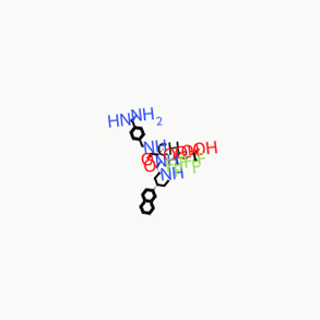 C[C@H](NC(=O)[C@H]1C[C@@H](c2ccc3ccccc3c2)CCN1)C(=O)NCc1ccc(C(=N)N)cc1.O=C(O)C(F)(F)F.O=C(O)C(F)(F)F